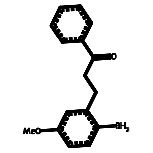 Bc1ccc(OC)cc1CCC(=O)c1ccccc1